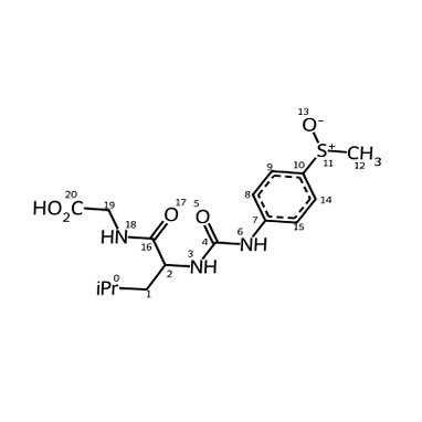 CC(C)CC(NC(=O)Nc1ccc([S+](C)[O-])cc1)C(=O)NCC(=O)O